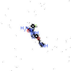 NC(=O)C[N+]1(c2cccc(F)c2)C=C(Nc2ncnc3cc(OCCCN4CCNCC4)ccc23)N=N1